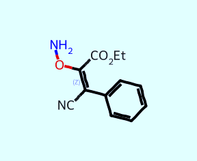 CCOC(=O)/C(ON)=C(/C#N)c1ccccc1